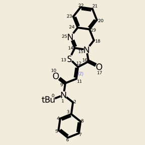 CC(C)(C)N(Cc1ccccc1)C(=O)/C=c1\sc2n(c1=O)Cc1ccccc1N=2